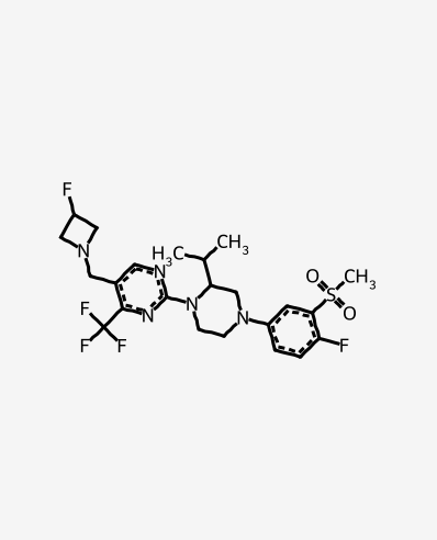 CC(C)C1CN(c2ccc(F)c(S(C)(=O)=O)c2)CCN1c1ncc(CN2CC(F)C2)c(C(F)(F)F)n1